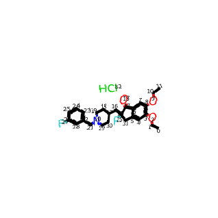 CCOc1cc2c(cc1OCC)C(=O)C(F)(CC1CCN(Cc3cccc(F)c3)CC1)C2.Cl